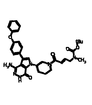 CN(C/C=C/C(=O)N1CCC[C@@H](n2cc(-c3ccc(Oc4ccccc4)cc3)c3c(N)n[nH]c(=O)c32)C1)C(=O)OC(C)(C)C